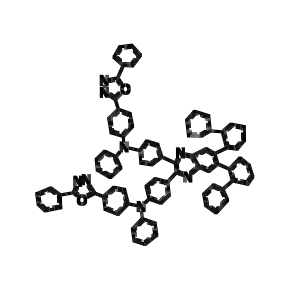 c1ccc(-c2nnc(-c3ccc(N(c4ccccc4)c4ccc(-c5nc6cc(-c7ccccc7-c7ccccc7)c(-c7ccccc7-c7ccccc7)cc6nc5-c5ccc(N(c6ccccc6)c6ccc(-c7nnc(-c8ccccc8)o7)cc6)cc5)cc4)cc3)o2)cc1